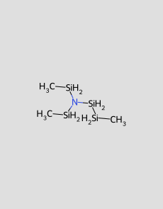 C[SiH2][SiH2]N([SiH2]C)[SiH2]C